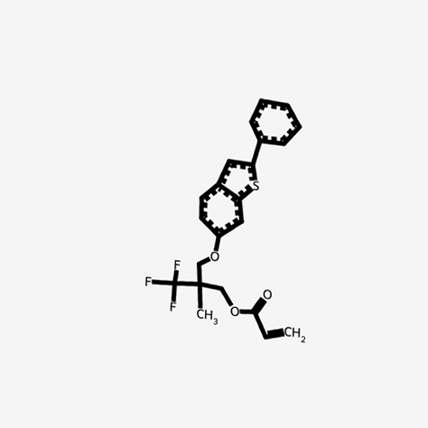 C=CC(=O)OCC(C)(COc1ccc2cc(-c3ccccc3)sc2c1)C(F)(F)F